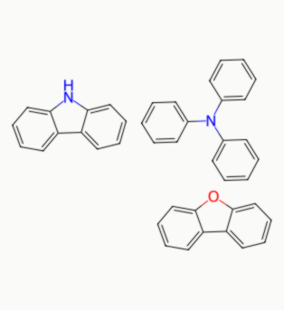 c1ccc(N(c2ccccc2)c2ccccc2)cc1.c1ccc2c(c1)[nH]c1ccccc12.c1ccc2c(c1)oc1ccccc12